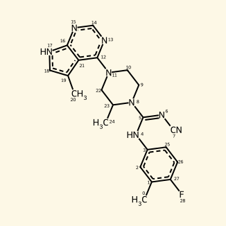 Cc1cc(NC(=NC#N)N2CCN(c3ncnc4[nH]cc(C)c34)CC2C)ccc1F